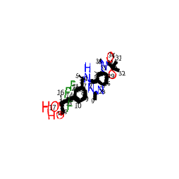 Cc1nc(N[C@H](C)c2cccc(C(F)(F)[C@](C)(O)CO)c2F)c2cc3c(cc2n1)OC(C)(C)C(=O)N3C